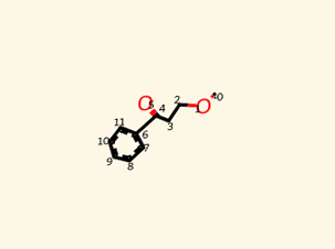 [CH2]OCCC(=O)c1ccccc1